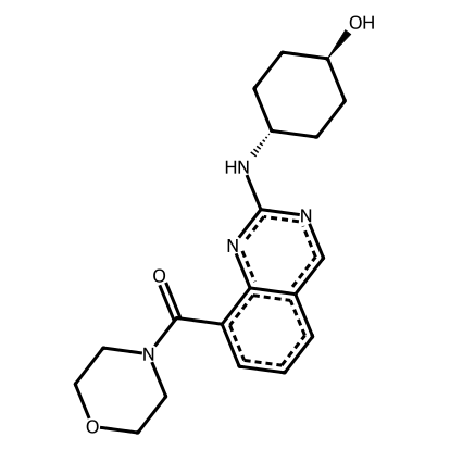 O=C(c1cccc2cnc(N[C@H]3CC[C@H](O)CC3)nc12)N1CCOCC1